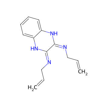 C=CCN=c1[nH]c2ccccc2[nH]c1=NCC=C